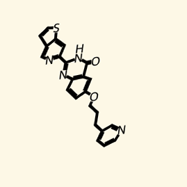 O=c1[nH]c(-c2cc3sccc3cn2)nc2ccc(OCCCc3cccnc3)cc12